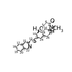 CN1C(=O)CC[C@]2(C)c3ccc(SCc4cc5ccccc5cn4)cc3CC[C@@H]12